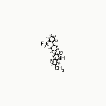 Cc1cnc2cc(C3CCC(c4ccccc4C(F)(F)F)CC3)c(=O)[nH]c2n1